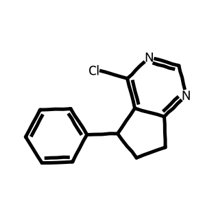 Clc1ncnc2c1C(c1ccccc1)CC2